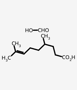 CC(C)=CCCC(C)CCC(=O)O.O=CO